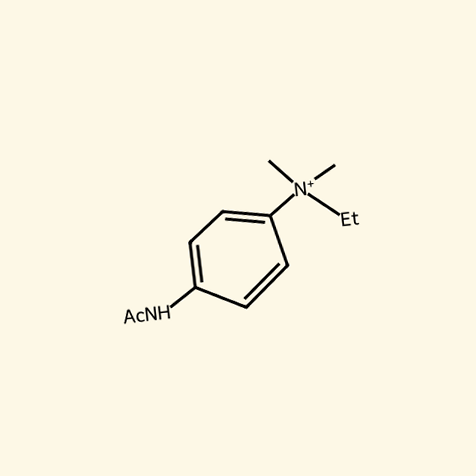 [CH2]C[N+](C)(C)c1ccc(NC(C)=O)cc1